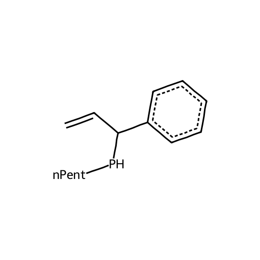 C=CC(PCCCCC)c1ccccc1